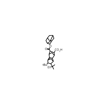 CCC(C)(C)C1C2CC(=C3C4CC(C32)C(C(=O)O)C4C(=O)OC2C3CC4CC(C3)CC2C4)C1C(C)(C)C